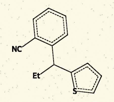 CCC(c1cccs1)c1ccccc1C#N